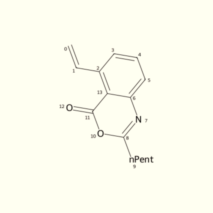 C=Cc1cccc2nc(CCCCC)oc(=O)c12